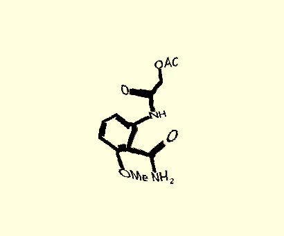 COc1cccc(NC(=O)COC(C)=O)c1C(N)=O